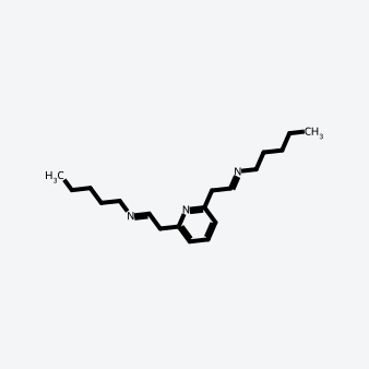 CCCCCN=CCc1cccc(CC=NCCCCC)n1